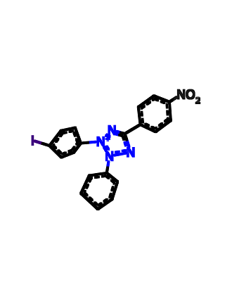 O=[N+]([O-])c1ccc(-c2nn(-c3ccccc3)[n+](-c3ccc(I)cc3)n2)cc1